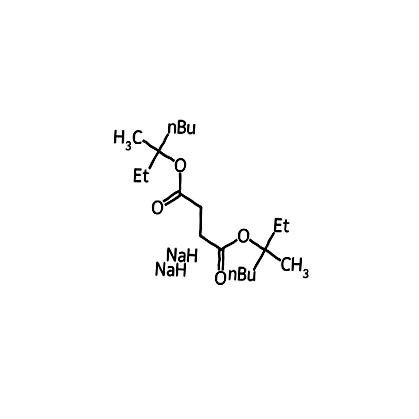 CCCCC(C)(CC)OC(=O)CCC(=O)OC(C)(CC)CCCC.[NaH].[NaH]